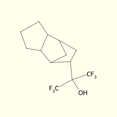 OC(C1CC2CC1C1CCCC21)(C(F)(F)F)C(F)(F)F